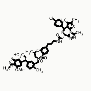 COc1cc([C@@H](CC(=O)O)c2ccc(C)c(CN3C[C@@H](C)Oc4cc(CCCNC(=O)C[C@@H]5N=C(c6ccc(Cl)cc6)c6c(sc(C)c6C)-n6c(C)nnc65)ccc4S3(=O)=O)c2)cc2nnn(C)c12